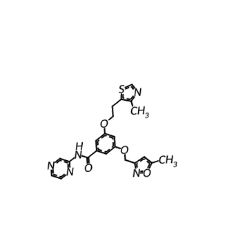 Cc1cc(COc2cc(OCCc3scnc3C)cc(C(=O)Nc3cnccn3)c2)no1